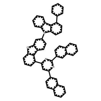 c1ccc(-c2cccc3c2c2ccccc2n3-c2ccc3c(c2)oc2cccc(-c4cc(-c5ccc6ccccc6c5)nc(-c5ccc6ccccc6c5)n4)c23)cc1